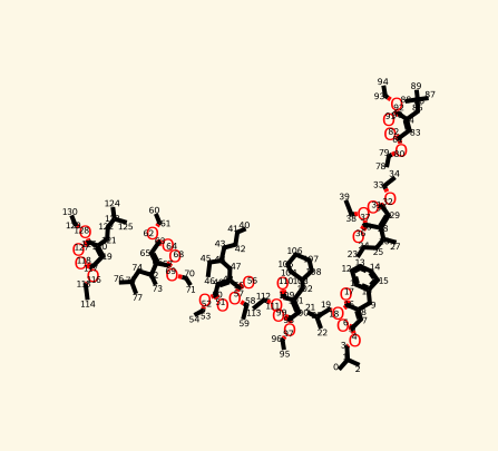 CC(C)COC(=O)C=C(Cc1ccccc1)C(=O)OCC(C)C.CCCC(C)C(=CC(=O)OCC)C(=O)OCC.CCCCC(CC)CC(=CC(=O)OCC)C(=O)OCC.CCOC(=O)C=C(C(=O)OCC)C(C)CC(C)C.CCOC(=O)C=C(CC(C)(C)C)C(=O)OCC.CCOC(=O)C=C(CC1CCCCC1)C(=O)OCC.CCOC(=O)C=C(CCC(C)C)C(=O)OCC